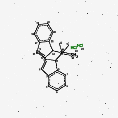 CCC1=Cc2ccccc2[CH]1[Zr]([CH3])([CH3])(=[SiH2])[CH]1C=Cc2ccccc21.Cl.Cl